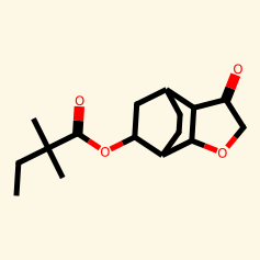 CCC(C)(C)C(=O)OC1CC2CCC1C1OCC(=O)C21